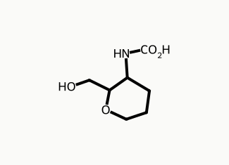 O=C(O)NC1CCCOC1CO